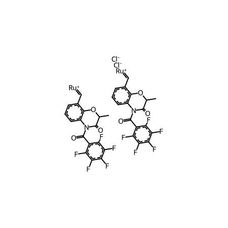 CC1Oc2c([CH]=[Ru+])cccc2N(C(=O)c2c(F)c(F)c(F)c(F)c2F)C1=O.CC1Oc2c([CH]=[Ru+])cccc2N(C(=O)c2c(F)c(F)c(F)c(F)c2F)C1=O.[Cl-].[Cl-]